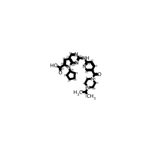 CC(C)N1CCN(C(=O)c2ccc(Nc3ncc4cc(C(=O)O)n(C5CCCC5)c4n3)nc2)CC1